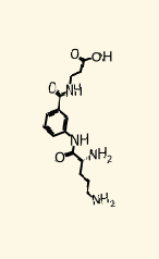 NCCC[C@@H](N)C(=O)Nc1cccc(C(=O)NCCC(=O)O)c1